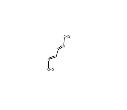 O=CN=CC=NC=O